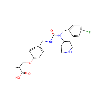 CC(COc1ccc(CNC(=O)N(Cc2ccc(F)cc2)C2CCNCC2)cc1)C(=O)O